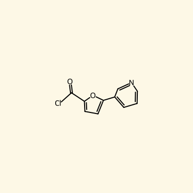 O=C(Cl)c1ccc(-c2cccnc2)o1